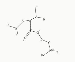 CC(C)CC(C(=O)OCCN(C)C)C(C)C